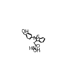 O=C(CC1c2ccccc2SN1c1ccc(CO)cc1)NO